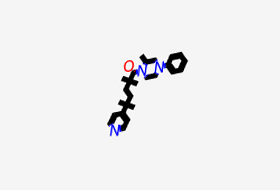 CC1CN(c2ccccc2)CCN1C(=O)C(C)(C)CCC(C)(C)c1ccncc1